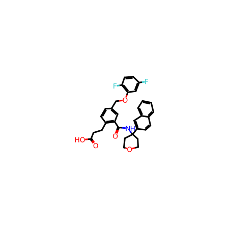 O=C(O)CCc1ccc(COc2cc(F)ccc2F)cc1C(=O)NC1(c2ccc3ccccc3c2)CCOCC1